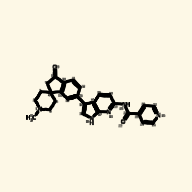 CN1CCC2(CC1)CC(=O)c1ccc(-c3c[nH]c4nc(NC(=O)c5ccncc5)ccc34)cc12